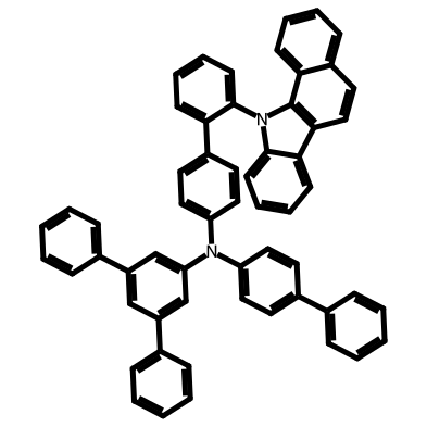 c1ccc(-c2ccc(N(c3ccc(-c4ccccc4-n4c5ccccc5c5ccc6ccccc6c54)cc3)c3cc(-c4ccccc4)cc(-c4ccccc4)c3)cc2)cc1